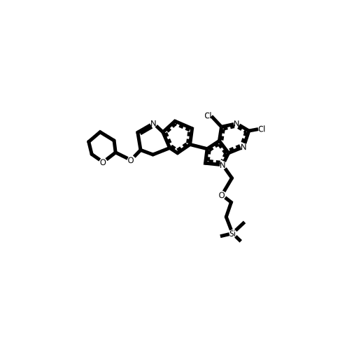 C[Si](C)(C)CCOCn1cc(-c2ccc3c(c2)CC(OC2CCCCO2)C=N3)c2c(Cl)nc(Cl)nc21